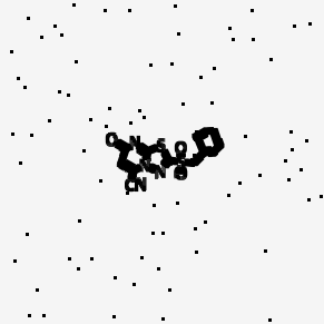 N#Cc1cc(=O)nc2sc(S(=O)(=O)Cc3ccccc3)nn12